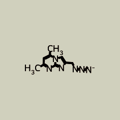 Cc1cc(C)n2cc(CN=[N+]=[N-])nc2n1